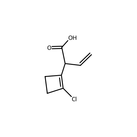 C=CC(C(=O)O)C1=C(Cl)CC1